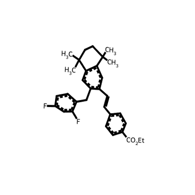 CCOC(=O)c1ccc(C=Cc2cc3c(cc2Cc2ccc(F)cc2F)C(C)(C)CCC3(C)C)cc1